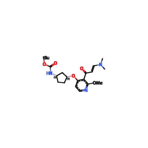 COc1nccc(O[C@@H]2CC[C@H](NC(=O)OC(C)(C)C)C2)c1C(=O)C=CN(C)C